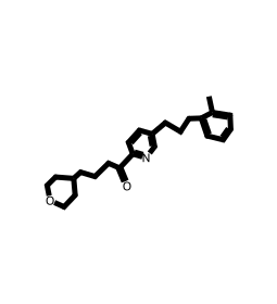 Cc1ccccc1CCCc1ccc(C(=O)CCCC2CCOCC2)nc1